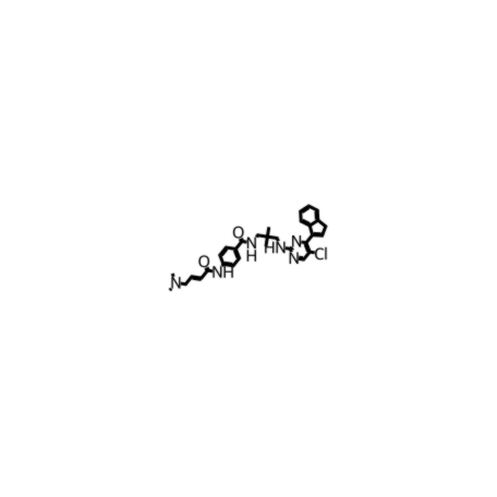 CN(C)C/C=C/C(=O)Nc1ccc(C(=O)NCC(C)(C)CNc2ncc(Cl)c(C3=CCc4ccccc43)n2)cc1